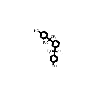 Oc1ccc(C(c2cccc(C(c3ccc(O)cc3)(C(F)(F)F)C(F)(F)F)c2)(C(F)(F)F)C(F)(F)F)cc1